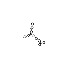 c1ccc(-c2ccc(-c3ccc(N(c4ccc(-c5ccccc5)cc4)c4ccc(-c5ccc(-c6ccc7c(c6)c6ccccc6n7-c6ccccc6)cc5)cc4)cc3)cc2)cc1